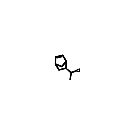 CC(Cl)[C@H]1CC2C=CC1C2